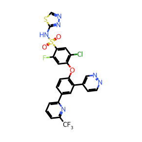 O=S(=O)(Nc1nncs1)c1cc(Cl)c(Oc2ccc(-c3cccc(C(F)(F)F)n3)cc2-c2ccnnc2)cc1F